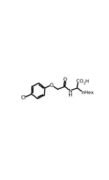 CCCCCCC(NC(=O)COc1ccc(Cl)cc1)C(=O)O